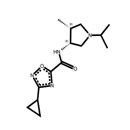 CC(C)N1C[C@@H](C)[C@@H](NC(=O)c2nc(C3CC3)no2)C1